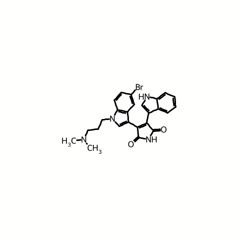 CN(C)CCCn1cc(C2=C(c3c[nH]c4ccccc34)C(=O)NC2=O)c2cc(Br)ccc21